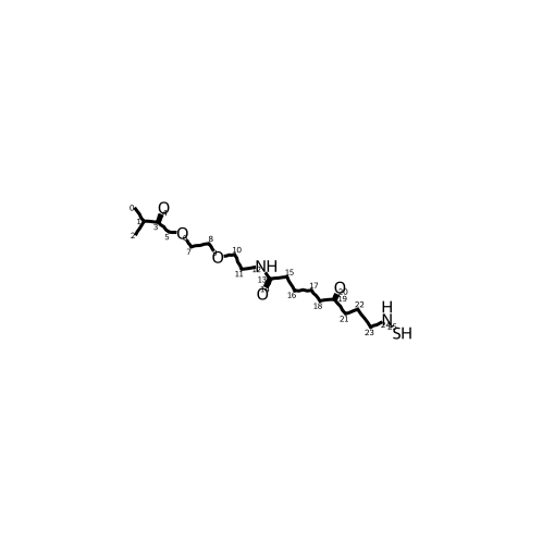 CC(C)C(=O)COCCOCCNC(=O)CCCCC(=O)CCCNS